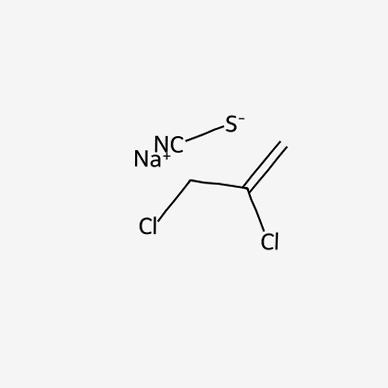 C=C(Cl)CCl.N#C[S-].[Na+]